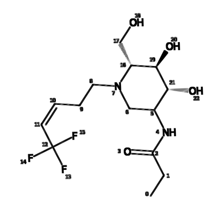 CCC(=O)NC1CN(CC/C=C\C(F)(F)F)[C@H](CO)[C@@H](O)[C@@H]1O